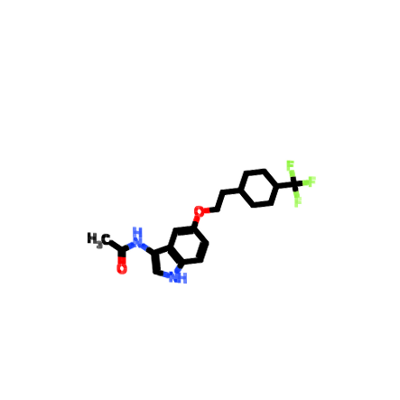 CC(=O)Nc1c[nH]c2ccc(OCCC3CCC(C(F)(F)F)CC3)cc12